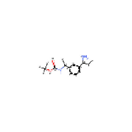 CCC(N)c1cccc(C(C)NC(=O)OC(C)(C)C)c1